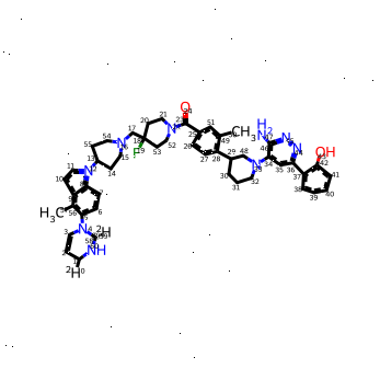 [2H]C1C=CN(c2ccc3c(ccn3C3CCN(CC4(F)CCN(C(=O)c5ccc(C6CCCN(c7cc(-c8ccccc8O)nnc7N)C6)c(C)c5)CC4)CC3)c2C)[C@H]([2H])N1